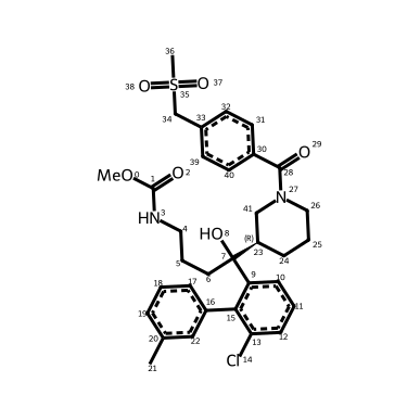 COC(=O)NCCCC(O)(c1cccc(Cl)c1-c1cccc(C)c1)[C@@H]1CCCN(C(=O)c2ccc(CS(C)(=O)=O)cc2)C1